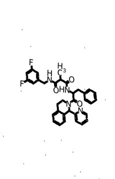 CC(C(=O)NCc1cc(F)cc(F)c1)C(=O)NC(Cc1ccccc1)C(=O)N1CCc2ccccc2C1c1ccccn1